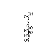 CC(=O)CN[PH](=O)NC(=O)OCCCC(=O)O